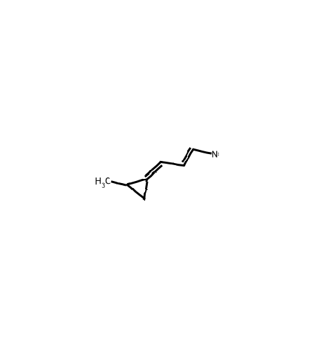 CC1CC1=CC=C[N]